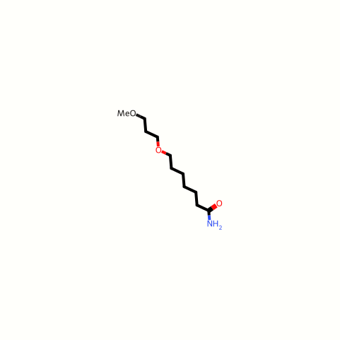 COCCCOCCCCCCC(N)=O